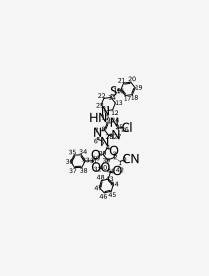 N#CC[C@H]1O[C@@H](n2cnc3c(NN4CCC(Sc5ccccc5)CC4)nc(Cl)nc32)[C@H](OC(=O)c2ccccc2)[C@@H]1OC(=O)c1ccccc1